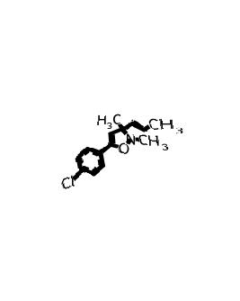 CC=[C]C1(C)C=C(c2ccc(Cl)cc2)ON1C